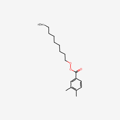 [CH2]CCCCCCCCCCCCCCCCCOOC(=O)c1ccc(C)c(C)c1